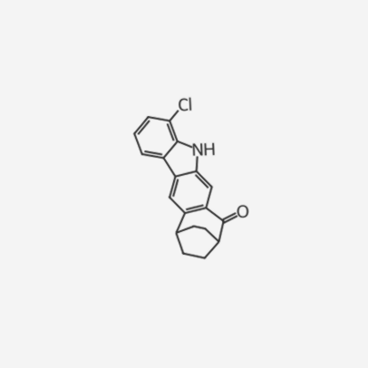 O=C1c2cc3[nH]c4c(Cl)cccc4c3cc2C2CCC1CC2